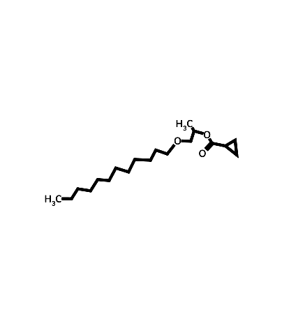 CCCCCCCCCCCCOCC(C)OC(=O)C1CC1